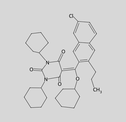 CCCc1cc2ccc(Cl)cc2cc1C(OC1CCCCC1)=C1C(=O)N(C2CCCCC2)C(=O)N(C2CCCCC2)C1=O